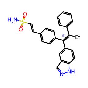 CC/C(=C(/c1ccc(C=CS(N)(=O)=O)cc1)c1ccc2[nH]ncc2c1)c1ccccc1